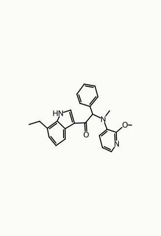 CCc1cccc2c(C(=O)C(c3ccccc3)N(C)c3cccnc3OC)c[nH]c12